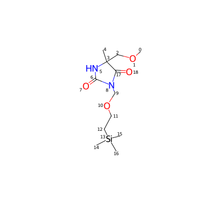 COCC1(C)NC(=O)N(COCC[Si](C)(C)C)C1=O